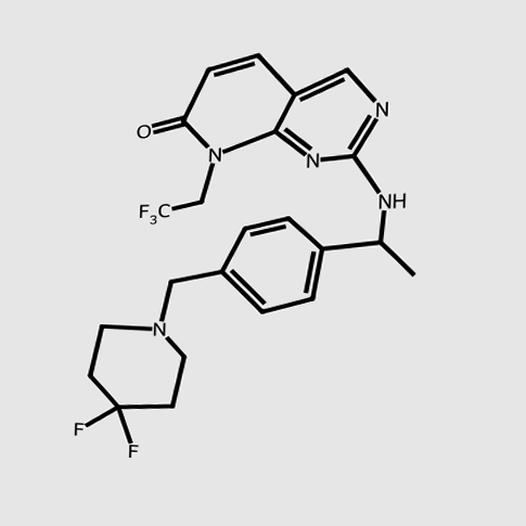 CC(Nc1ncc2ccc(=O)n(CC(F)(F)F)c2n1)c1ccc(CN2CCC(F)(F)CC2)cc1